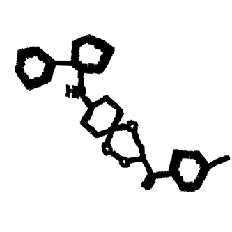 C=C(c1ccc(C)cc1)C1COC2(CCC(Nc3ccccc3-c3ccccc3)CC2)OO1